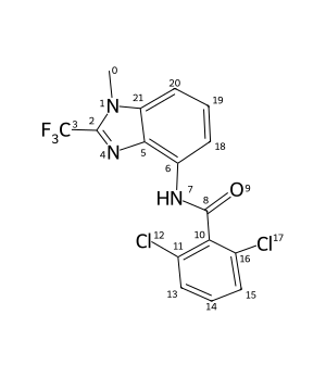 Cn1c(C(F)(F)F)nc2c(NC(=O)c3c(Cl)cccc3Cl)cccc21